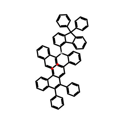 c1ccc(-c2c(-c3ccccc3)c3cc(-c4ccccc4N(c4cccc5c4-c4ccccc4C5(c4ccccc4)c4ccccc4)c4cccc5ccccc45)ccc3c3ccccc23)cc1